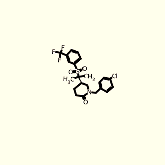 CC(C)([C@@H]1CCC(=O)N(Cc2ccc(Cl)cc2)C1)S(=O)(=O)c1cccc(C(F)(F)F)c1